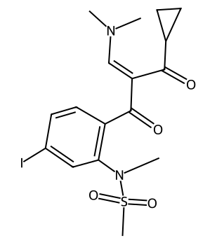 CN(C)C=C(C(=O)c1ccc(I)cc1N(C)S(C)(=O)=O)C(=O)C1CC1